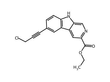 CCOC(=O)c1cc2c(cn1)[nH]c1ccc(C#CCCl)cc12